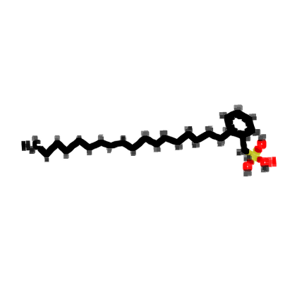 CCCCCCCCCCCCCCCCCCc1ccccc1CS(=O)(=O)O